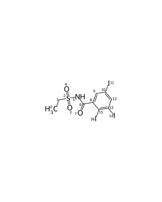 CCS(=O)(=O)NC(=O)c1cc(I)cc(I)c1I